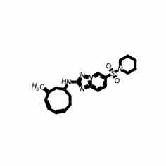 C=C1/C=C\C=C/CCC(Nc2nc3ccc(S(=O)(=O)N4CCCCC4)cn3n2)C1